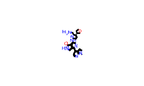 Cn1ccc2c(-c3ncc(Nc4ccc([C@H]5CCOC5)c(CN)n4)c4c3CNC4=O)ccnc21